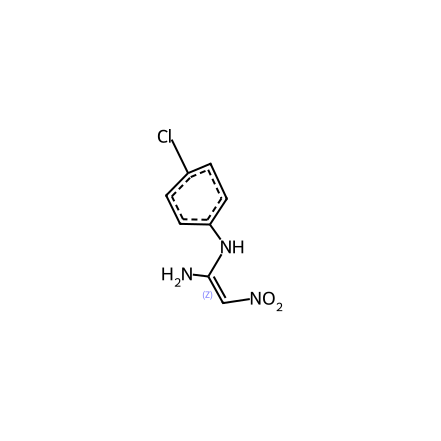 N/C(=C/[N+](=O)[O-])Nc1ccc(Cl)cc1